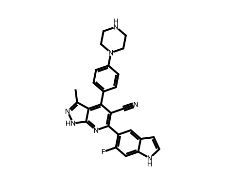 Cc1n[nH]c2nc(-c3cc4cc[nH]c4cc3F)c(C#N)c(-c3ccc(N4CCNCC4)cc3)c12